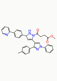 COC(=O)CCC(=O)N1NC(c2ccc(-c3ccccn3)cc2)C=C1c1cn(-c2ccccc2)nc1-c1ccc(C)cc1